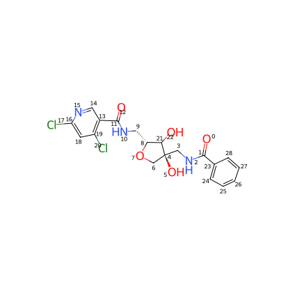 O=C(NC[C@]1(O)CO[C@H](CNC(=O)c2cnc(Cl)cc2Cl)C1O)c1ccccc1